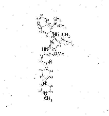 C=C(C)c1cnc(Nc2ccc(N3CCC(N4CCN(C)CC4)CC3)nc2OC)nc1Nc1ccc2nccnc2c1P(C)C